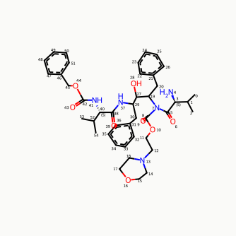 CC(C)[C@H](N)C(=O)N(C(=O)OCCN1CCOCC1)C(Cc1ccccc1)C(O)C(Cc1ccccc1)NC(=O)[C@@H](NC(=O)OCc1ccccc1)C(C)C